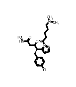 COC(CC(=O)NO)[C@H](Cc1ccc(Cl)cc1)c1ccnn1CCCCCN(C)C